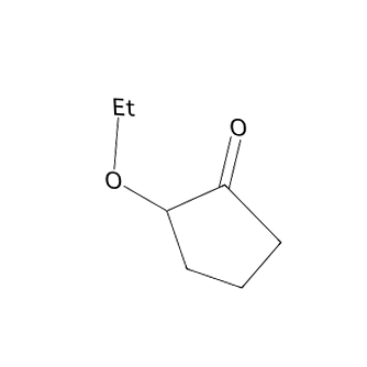 CCOC1CCCC1=O